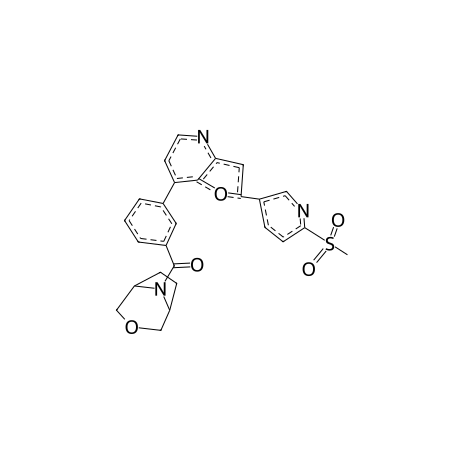 CS(=O)(=O)c1ccc(-c2cc3nccc(-c4cccc(C(=O)N5C6CCC5COC6)c4)c3o2)cn1